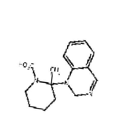 CC1(N2CN=Cc3ccccc32)CCCCN1C(=O)O